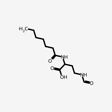 [CH2]CCCCCC(=O)NC(CCNC=O)C(=O)O